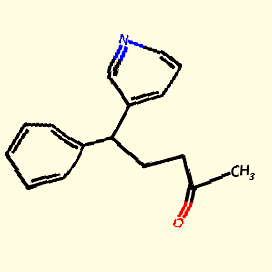 CC(=O)CCC(c1ccccc1)c1cccnc1